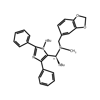 CCCC[C@@H](c1c(-c2ccccc2)nc(-c2ccccc2)n1CCCC)N(C)Cc1ccc2c(c1)OCO2